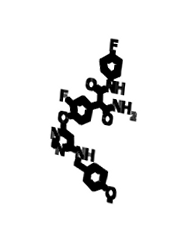 COc1ccc(CNc2cc(Oc3ccc(C(C(N)=O)C(=O)Nc4ccc(F)cc4)cc3F)ncn2)cc1